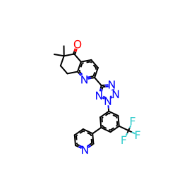 CC1(C)CCc2nc(-c3nnn(-c4cc(-c5cccnc5)cc(C(F)(F)F)c4)n3)ccc2C1=O